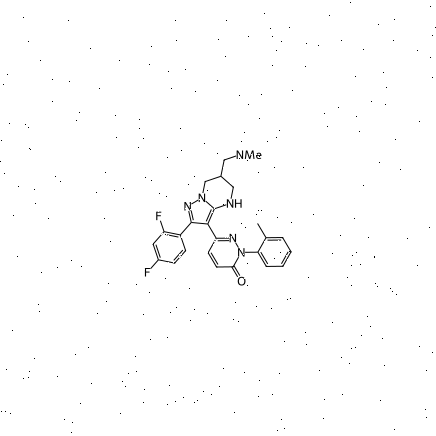 CNCC1CNc2c(-c3ccc(=O)n(-c4ccccc4C)n3)c(-c3ccc(F)cc3F)nn2C1